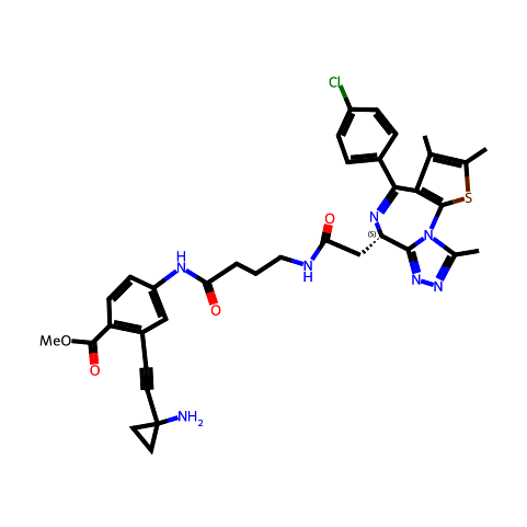 COC(=O)c1ccc(NC(=O)CCCNC(=O)C[C@@H]2N=C(c3ccc(Cl)cc3)c3c(sc(C)c3C)-n3c(C)nnc32)cc1C#CC1(N)CC1